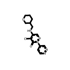 O=c1c(Cl)c(NCC2CCCOC2)cnn1-c1ccnnc1